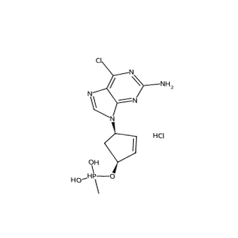 C[PH](O)(O)O[C@@H]1C=C[C@H](n2cnc3c(Cl)nc(N)nc32)C1.Cl